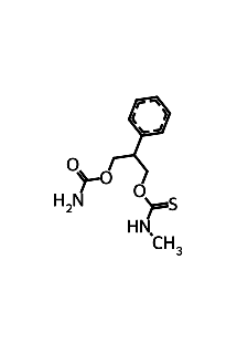 CNC(=S)OCC(COC(N)=O)c1ccccc1